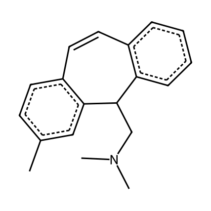 Cc1ccc2c(c1)C(CN(C)C)c1ccccc1C=C2